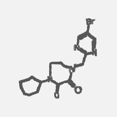 O=C1C(=O)N(C2CCCC2)CCN1Cc1ncc(Br)cn1